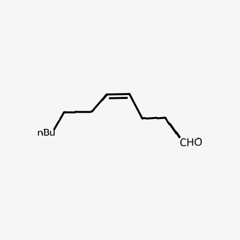 CCCCCC/C=C\CCC=O